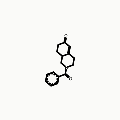 O=C1C=C2CCN(C(=O)c3ccccc3)CC2CC1